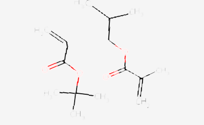 C=C(C)C(=O)OCC(C)C.C=CC(=O)OC(C)(C)C